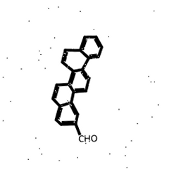 O=Cc1ccc2ccc3c(ccc4c5ccccc5ccc43)c2c1